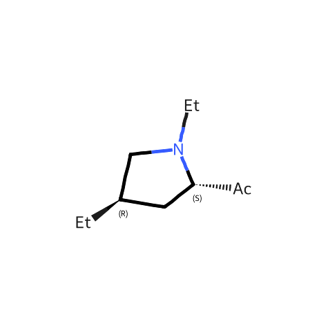 CC[C@@H]1C[C@@H](C(C)=O)N(CC)C1